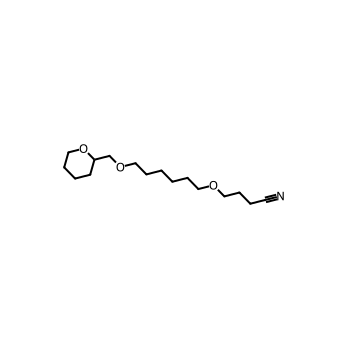 N#CCCCOCCCCCCOCC1CCCCO1